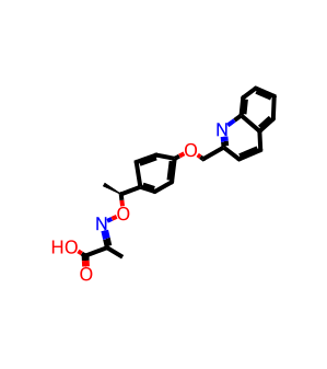 C/C(=N\O[C@@H](C)c1ccc(OCc2ccc3ccccc3n2)cc1)C(=O)O